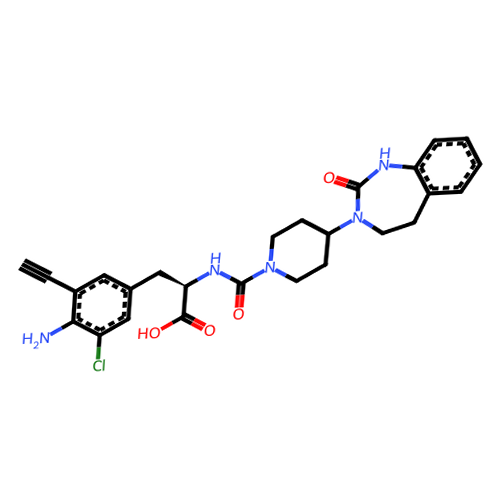 C#Cc1cc(C[C@@H](NC(=O)N2CCC(N3CCc4ccccc4NC3=O)CC2)C(=O)O)cc(Cl)c1N